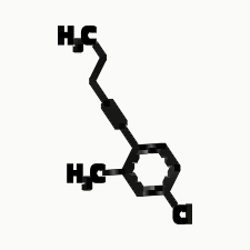 CCCC#Cc1ccc(Cl)cc1C